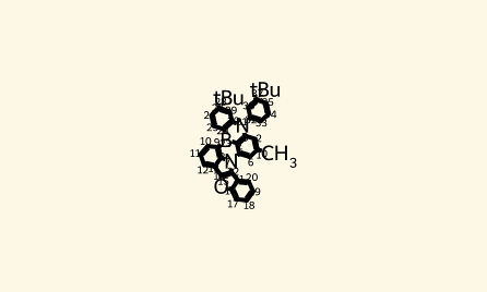 Cc1cc2c3c(c1)-n1c4c(cccc4c4oc5ccccc5c41)B3c1ccc(C(C)(C)C)cc1N2c1cccc(C(C)(C)C)c1